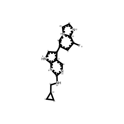 Fc1cc(-c2c[nH]c3nc(NCC4CC4)ncc23)cn2ccnc12